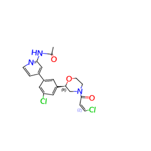 CC(=O)Nc1cc(-c2cc(Cl)cc([C@@H]3CN(C(=O)/C=C\Cl)CCO3)c2)ccn1